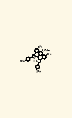 COc1ccc(/C(=C2/N=C(c3ccc(C(C)(C)C)cc3)C=C2c2ccc(C(C)(C)C)cc2)c2[nH]c(-c3ccc(C(C)(C)C)cc3)cc2-c2ccc(C(C)(C)C)cc2)cc1